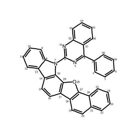 c1ccc(-c2nc(-n3c4ccccc4c4ccc5c6ccc7ccccc7c6oc5c43)nc3ccccc23)cc1